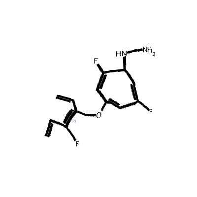 C=C/C(F)=C(\C=C)OC1=CC(F)=CC(NN)C(F)=C1